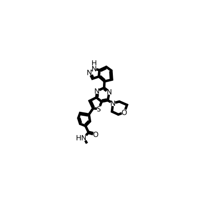 CNC(=O)c1cccc(-c2cc3nc(-c4cccc5[nH]ncc45)nc(N4CCOCC4)c3s2)c1